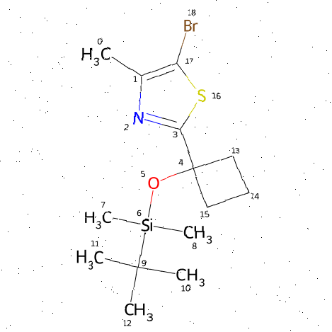 Cc1nc(C2(O[Si](C)(C)C(C)(C)C)CCC2)sc1Br